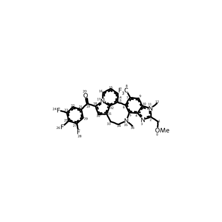 COCc1nc2c3c(c(C(F)(F)F)cc2n1C)-c1cccn2c(C(=O)c4cc(F)c(F)c(F)c4)cc(c12)CCN3C